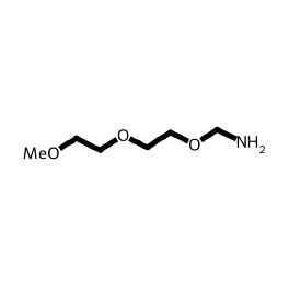 COCCOCCOCN